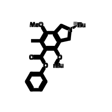 CCCCOc1c2c(c(OC)c(C)c1C(=O)Oc1ccccc1)CN([C@@H](C)CC)C2